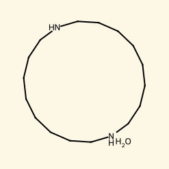 C1CCCCNCCCCCCCCNCCC1.O